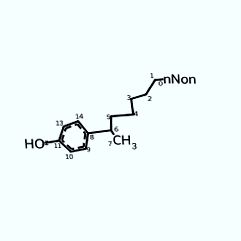 CCCCCCCCCCCCCCC(C)c1ccc(O)cc1